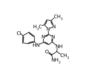 Cc1cc(C)n(-c2nc(Nc3ccc(Cl)cc3)cc(NC(C)C(N)=O)n2)n1